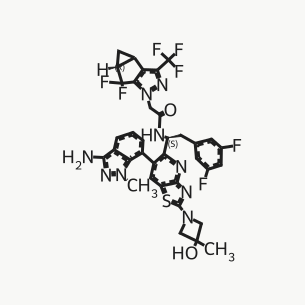 Cn1nc(N)c2cccc(-c3cc4sc(N5CC(C)(O)C5)nc4nc3[C@H](Cc3cc(F)cc(F)c3)NC(=O)Cn3nc(C(F)(F)F)c4c3C(F)(F)[C@@H]3CC43)c21